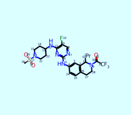 CC(C)C1c2cc(Nc3ncc(F)c(NC4CCN(S(C)(=O)=O)CC4)n3)ccc2CCN1C(=O)C(F)(F)F